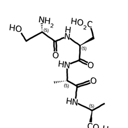 C[C@H](NC(=O)[C@H](C)NC(=O)[C@H](CC(=O)O)NC(=O)[C@@H](N)CO)C(=O)O